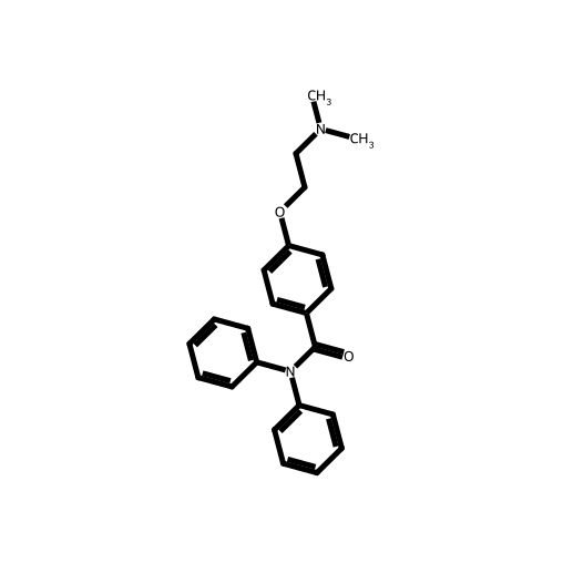 CN(C)CCOc1ccc(C(=O)N(c2ccccc2)c2ccccc2)cc1